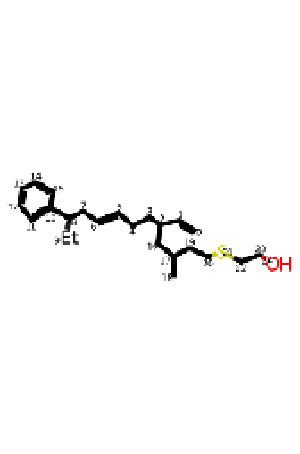 C=CC(CCC=CCC(CC)c1ccccc1)CC(C)CCSCCO